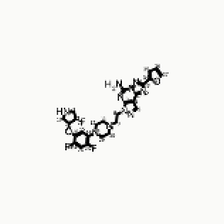 Nc1nc2c(cnn2CCN2CCN(c3cc(O[C@H]4CNC[C@@H]4F)c(F)cc3F)CC2)c2nc(-c3ccco3)nn12